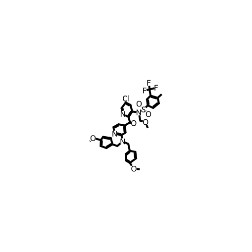 COCN(c1cc(Cl)cnc1C(=O)c1ccnc(N(Cc2ccc(OC)cc2)Cc2ccc(OC)cc2)c1)S(=O)(=O)c1ccc(C)c(C(F)(F)F)c1